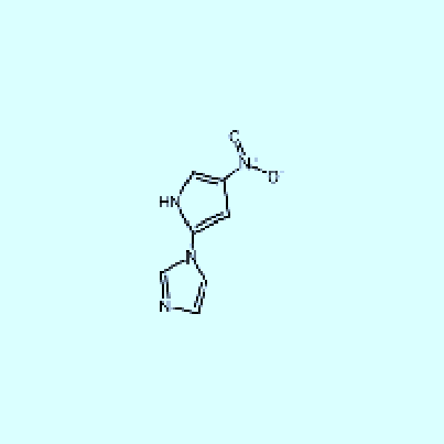 O=[N+]([O-])c1c[nH]c(-n2ccnc2)c1